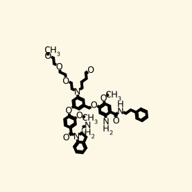 COCCOCCOCCN(CCCC=O)c1cc(COc2cc(N)c(C(=O)NCCc3ccccc3)cc2OC)cc(Oc2ccc(C(=O)N3c4ccccc4C[C@H]3CN)cc2OC)c1